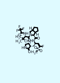 CC(C)(C)[C@H](NC(=O)C(F)(F)F)C(=O)N1C[C@@H]2CCC[C@@H]2[C@H]1C(=O)N[C@@H](/C=C(/F)S(C)(=O)=O)C[C@H]1CCNC1=O